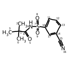 CC(C)(C)C(=O)NS(=O)(=O)c1cccc(C#N)c1